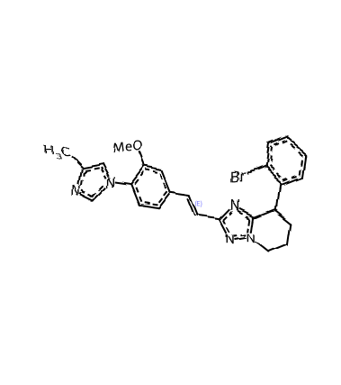 COc1cc(/C=C/c2nc3n(n2)CCCC3c2ccccc2Br)ccc1-n1cnc(C)c1